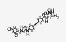 NC[C@H](NC(=O)c1ccc(C#Cc2ccc(NC(=O)CNCc3ccc(Cl)cc3Cl)cc2)cc1)C(=O)NO